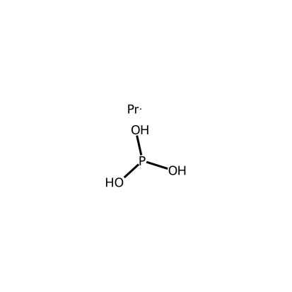 OP(O)O.[Pr]